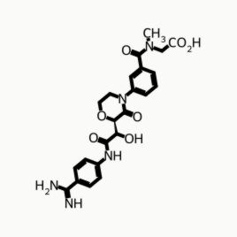 CN(CC(=O)O)C(=O)c1cccc(N2CCO[C@H](C(O)C(=O)Nc3ccc(C(=N)N)cc3)C2=O)c1